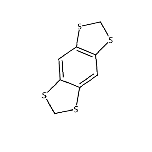 c1c2c(cc3c1SCS3)SCS2